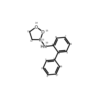 c1ccc(-c2ccccc2NB2CCOO2)cc1